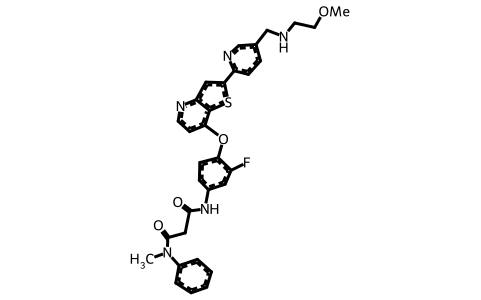 COCCNCc1ccc(-c2cc3nccc(Oc4ccc(NC(=O)CC(=O)N(C)c5ccccc5)cc4F)c3s2)nc1